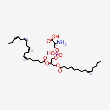 CC/C=C\C/C=C\C/C=C\C/C=C\CCCCC(=O)O[C@H](COC(=O)CCCCCCC/C=C\CCCC)COP(=O)(O)OC[C@H](N)C(=O)O